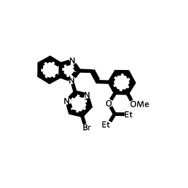 CCC(CC)Oc1c(/C=C/c2nc3ccccc3n2-c2ncc(Br)cn2)cccc1OC